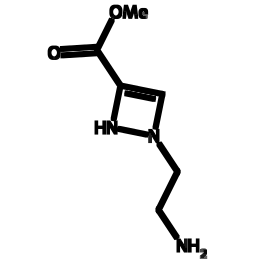 COC(=O)c1cn(CCN)[nH]1